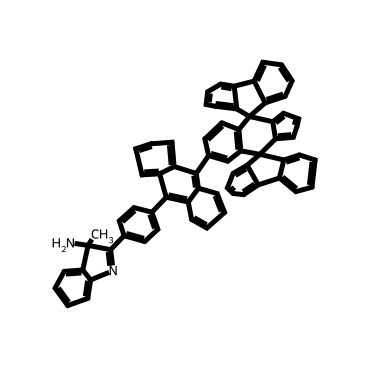 CC1(N)C(c2ccc(-c3c4ccccc4c(-c4ccc5c(c4)C4(c6ccccc6-c6ccccc64)c4ccccc4C54c5ccccc5-c5ccccc54)c4ccccc34)cc2)=Nc2ccccc21